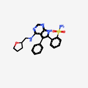 NS(=O)(=O)c1ccccc1-c1[nH]c2ncnc(NCC3CCCO3)c2c1-c1ccccc1